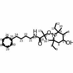 CCC1(C)CC(O)C(C)C(C)(CC)N1OC(C)(C)C(=O)NCCCCc1ccccc1